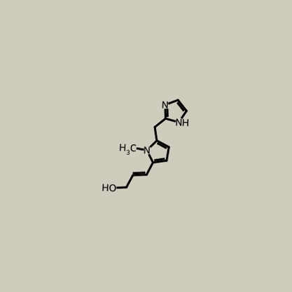 Cn1c(C=CCO)ccc1Cc1ncc[nH]1